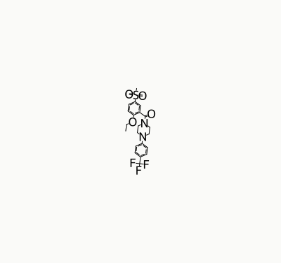 CCOc1ccc(S(C)(=O)=O)cc1C(=O)N1CCN(c2ccc(C(F)(F)F)cc2)CC1